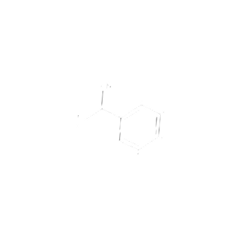 N#CC(c1ccccc1)S(=O)(=O)O